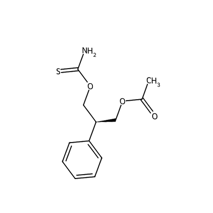 CC(=O)OC[C@H](COC(N)=S)c1ccccc1